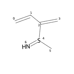 C=CC(=C)S(C)=N